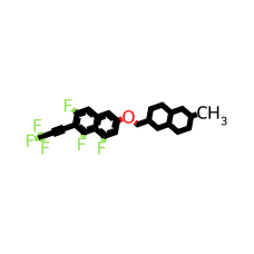 CC1CCC2CC(COc3cc(F)c4c(F)c(C#CC(F)(F)F)c(F)cc4c3)CCC2C1